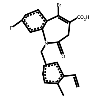 C=Cc1cc(CN2C(=O)CC(C(=O)O)=C(Br)c3ccc(F)cc32)ccc1C